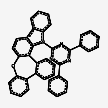 c1ccc(-c2nc(-c3ccccc3)nc(-n3c4ccccc4c4ccc5c(c43)-c3ccccc3-c3ccccc3O5)n2)cc1